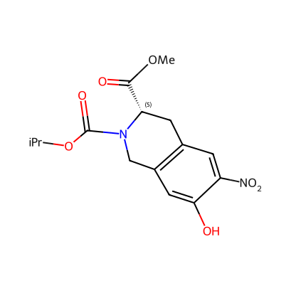 COC(=O)[C@@H]1Cc2cc([N+](=O)[O-])c(O)cc2CN1C(=O)OC(C)C